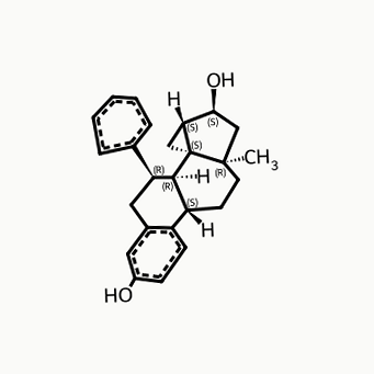 C[C@]12CC[C@@H]3c4ccc(O)cc4C[C@@H](c4ccccc4)[C@H]3[C@]13C[C@@H]3[C@@H](O)C2